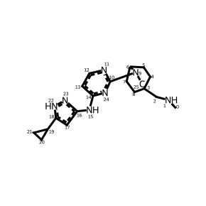 CNCC12CCC(CC1)N(c1nccc(Nc3cc(C4CC4)[nH]n3)n1)C2